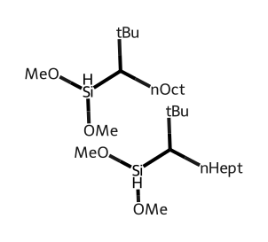 CCCCCCCC([SiH](OC)OC)C(C)(C)C.CCCCCCCCC([SiH](OC)OC)C(C)(C)C